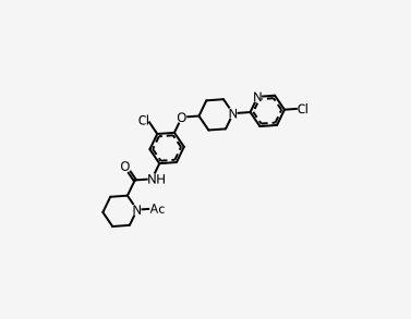 CC(=O)N1CCCCC1C(=O)Nc1ccc(OC2CCN(c3ccc(Cl)cn3)CC2)c(Cl)c1